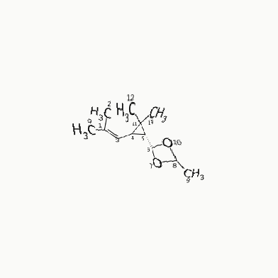 CC(C)=CC1[C@@H](C2OC(C)O2)C1(C)C